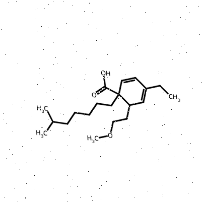 CCC1=CC(CCOC)C(CCCCCC(C)C)(C(=O)O)C=C1